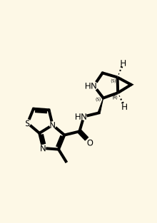 Cc1nc2sccn2c1C(=O)NC[C@H]1NC[C@H]2C[C@H]21